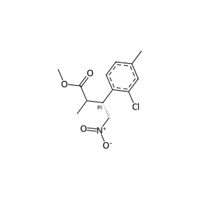 COC(=O)C(C)[C@@H](C[N+](=O)[O-])c1ccc(C)cc1Cl